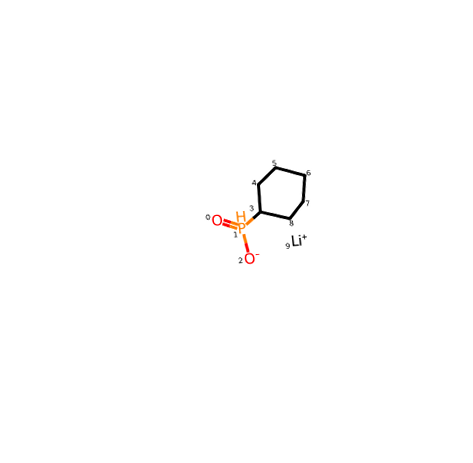 O=[PH]([O-])C1CCCCC1.[Li+]